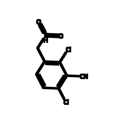 N#Cc1c(Cl)ccc(C[SH](=O)=O)c1Cl